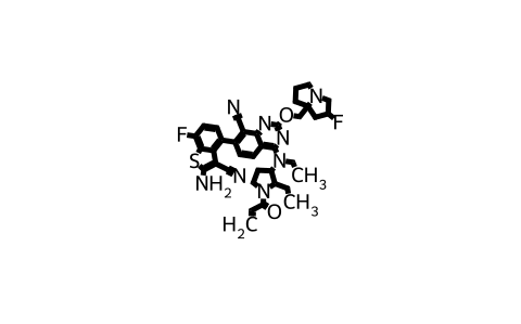 C=CC(=O)N1CCC(N(CC)c2nc(OCC34CCCN3CC(F)C4)nc3c(C#N)c(-c4ccc(F)c5sc(N)c(C#N)c45)ccc23)C1CC